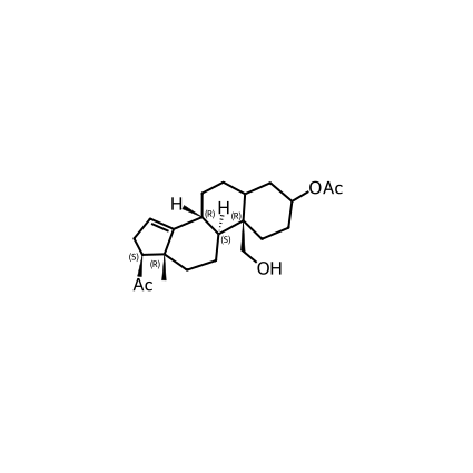 CC(=O)OC1CC[C@@]2(CO)C(CC[C@H]3C4=CC[C@H](C(C)=O)[C@@]4(C)CC[C@@H]32)C1